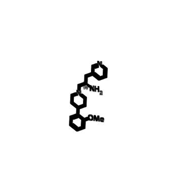 COc1ccccc1C1CCN(C[C@H](N)Cc2cccnc2)CC1